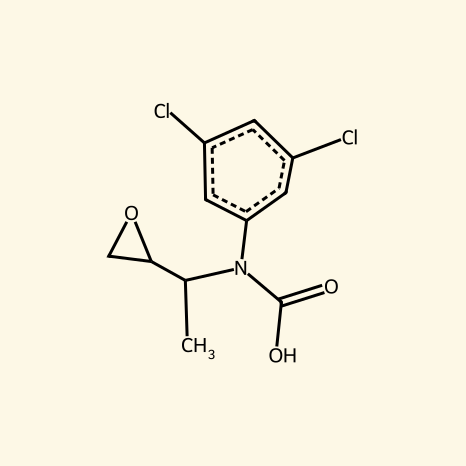 CC(C1CO1)N(C(=O)O)c1cc(Cl)cc(Cl)c1